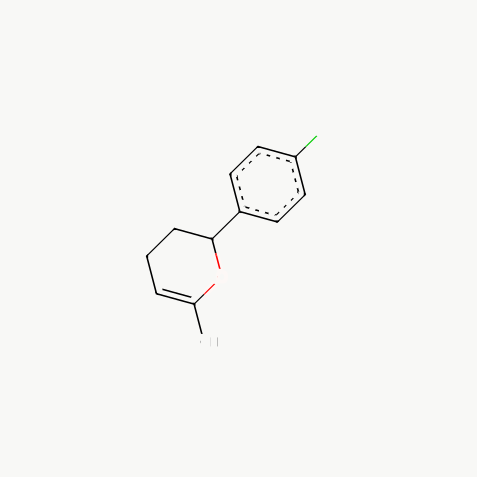 CC1=CCCC(c2ccc(Cl)cc2)O1